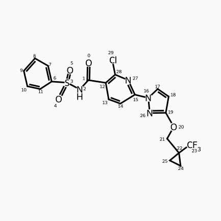 O=C(NS(=O)(=O)c1ccccc1)c1ccc(-n2ccc(OCC3(C(F)(F)F)CC3)n2)nc1Cl